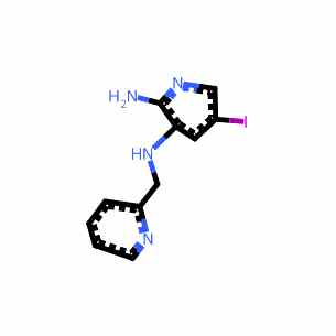 Nc1ncc(I)cc1NCc1ccccn1